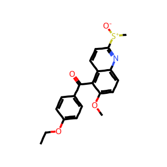 CCOc1ccc(C(=O)c2c(OC)ccc3nc([S+](C)[O-])ccc23)cc1